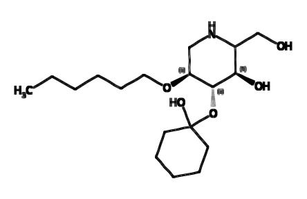 CCCCCCO[C@H]1CNC(CO)[C@@H](O)[C@@H]1OC1(O)CCCCC1